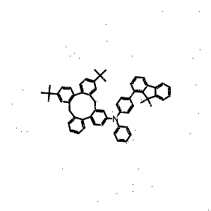 CC(C)(C)c1ccc2c(c1)Cc1ccccc1-c1ccc(N(c3ccccc3)c3ccc(-c4cccc5c4C(C)(C)c4ccccc4-5)cc3)cc1Cc1cc(C(C)(C)C)ccc1-2